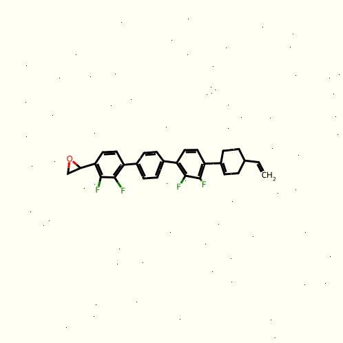 C=CC1CC=C(c2ccc(-c3ccc(-c4ccc(C5CO5)c(F)c4F)cc3)c(F)c2F)CC1